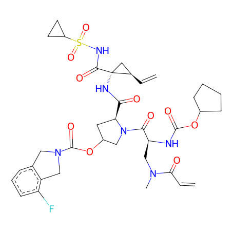 C=CC(=O)N(C)C[C@H](NC(=O)OC1CCCC1)C(=O)N1CC(OC(=O)N2Cc3cccc(F)c3C2)C[C@H]1C(=O)N[C@]1(C(=O)NS(=O)(=O)C2CC2)C[C@H]1C=C